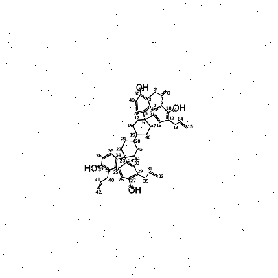 C=CCc1cc(C2(c3ccc(O)c(CC=C)c3)CCC(C3CCC(c4ccc(O)c(CC=C)c4)(c4ccc(O)c(CC=C)c4)CC3)CC2)ccc1O